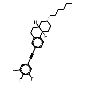 CCCCCC[C@@H]1CC[C@@H]2c3ccc(C#Cc4cc(F)c(F)c(F)c4)cc3CC[C@@H]2C1